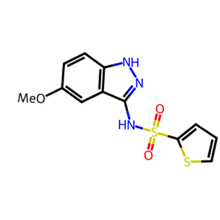 COc1ccc2[nH]nc(NS(=O)(=O)c3cccs3)c2c1